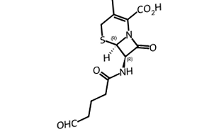 CC(=O)OCC1=C(C(=O)O)N2C(=O)[C@@H](NC(=O)CCCC=O)[C@H]2SC1